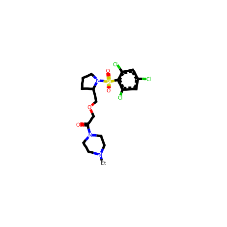 CCN1CCN(C(=O)COCC2CCCN2S(=O)(=O)c2c(Cl)cc(Cl)cc2Cl)CC1